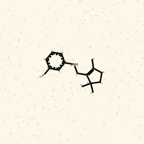 CC1=C(CNc2cccc(F)c2)C(C)(C)CC1